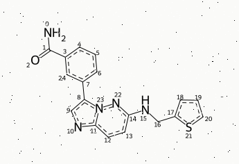 NC(=O)c1cccc(-c2cnc3ccc(NCc4cccs4)nn23)c1